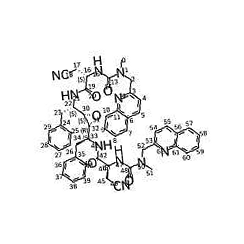 CN(Cc1ccc2ccccc2n1)C(=O)N[C@@H](CC#N)C(=O)N[C@@H](Cc1ccccc1)[C@@H]1O[C@@H]1[C@H](Cc1ccccc1)NC(=O)[C@H](CC#N)NC(=O)N(C)Cc1ccc2ccccc2n1